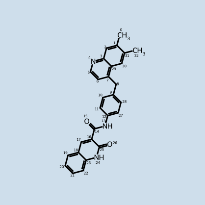 Cc1cc2nccc(Cc3ccc(NC(=O)c4cc5ccccc5[nH]c4=O)cc3)c2cc1C